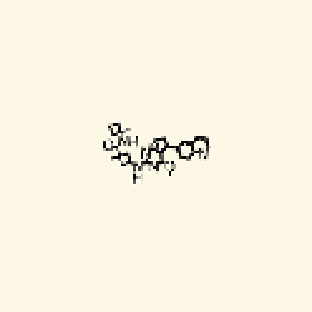 COc1nc(NC2CC(C)(C(=O)NC3(C)CCC3)C2)nn2ccc(-c3ccc4ncccc4c3)c12